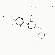 Cc1nc(N[C@@H]2CNC[C@H]2F)ncc1-c1ccc(C(F)(F)F)cc1F.Cl